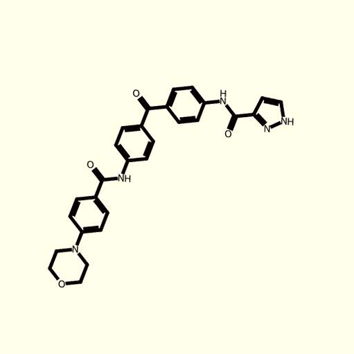 O=C(Nc1ccc(C(=O)c2ccc(NC(=O)c3cc[nH]n3)cc2)cc1)c1ccc(N2CCOCC2)cc1